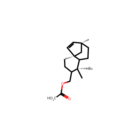 CCCC[C@]1(C)C(COC(=O)C(=O)O)CC[C@@]23C=C[C@@](C)(CCC21)C3